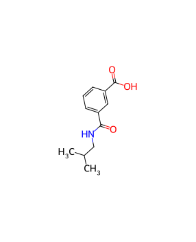 CC(C)CNC(=O)c1cccc(C(=O)O)c1